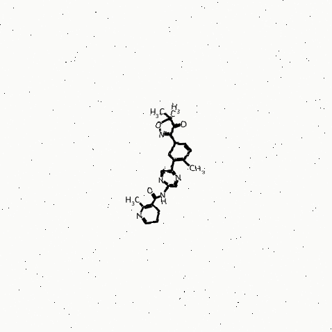 CC1=C(c2cnc(NC(=O)C3=C(C)N=CCC3)cn2)CC(C2=NOC(C)(C)C2=O)C=C1